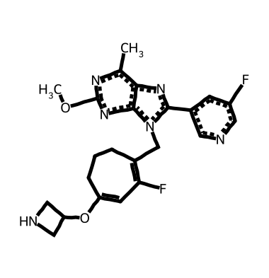 COc1nc(C)c2nc(-c3cncc(F)c3)n(CC3=C(F)C=C(OC4CNC4)CCC3)c2n1